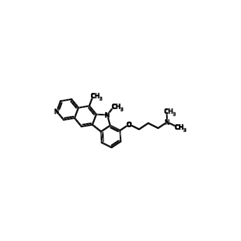 Cc1c2ccncc2cc2c3cccc(OCCCN(C)C)c3n(C)c12